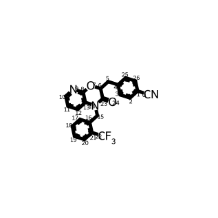 N#Cc1ccc(CC2Oc3ncccc3N(Cc3ccccc3C(F)(F)F)C2=O)cc1